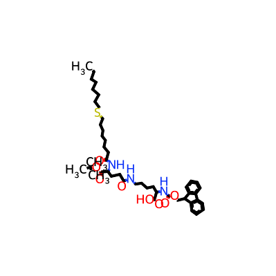 CCCCCCCCSCCCCCCCC(=O)NC(CCC(=O)NCCCCC(NC(=O)OCC1c2ccccc2-c2ccccc21)C(=O)O)C(=O)OC(C)(C)C